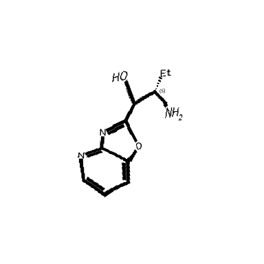 CC[C@H](N)C(O)c1nc2ncccc2o1